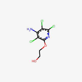 Nc1c(Cl)c(Cl)nc(OCCO)c1Cl